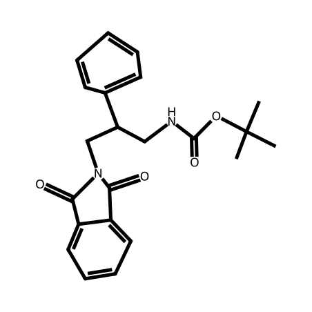 CC(C)(C)OC(=O)NCC(CN1C(=O)c2ccccc2C1=O)c1ccccc1